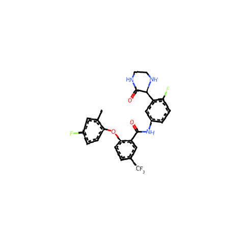 Cc1cc(F)ccc1Oc1ccc(C(F)(F)F)cc1C(=O)Nc1ccc(F)c(C2NCCNC2=O)c1